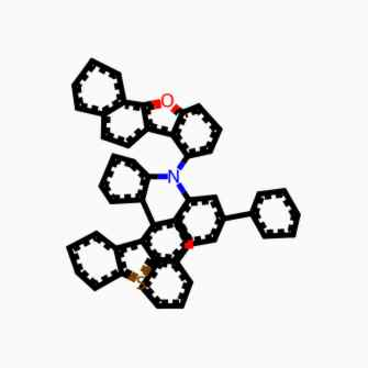 c1ccc(-c2cc(-c3ccccc3)cc(N(c3ccccc3-c3cccc4sc5ccccc5c34)c3cccc4oc5c6ccccc6ccc5c34)c2)cc1